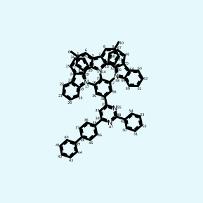 Cc1ccc2c(c1)c1cc(C)ccc1n2-c1c(-n2c3ccccc3c3ccccc32)cc(-c2cc(-c3ccc(-c4ccccc4)cc3)nc(-c3ccccc3)n2)cc1-n1c2ccccc2c2ccccc21